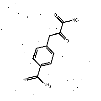 N=C(N)c1ccc(CC(=O)C(=O)N=O)cc1